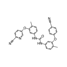 Cc1ccc(NC(=O)Nc2ccc(C)c(Oc3ccc(C#N)nc3)c2)cc1Oc1ccc(C#N)cc1